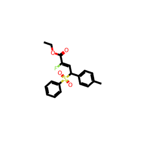 CCOC(=O)/C(F)=C/C(c1ccc(C)cc1)S(=O)(=O)c1ccccc1